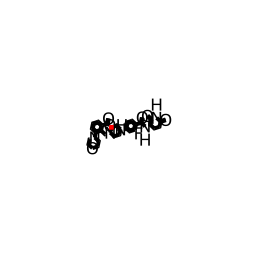 O=C1CC[C@H](NC(=O)c2ccc(N3CCN(Cc4c(C(=O)O)cccc4N4CCOCC4)CC3)cc2F)C(=O)N1